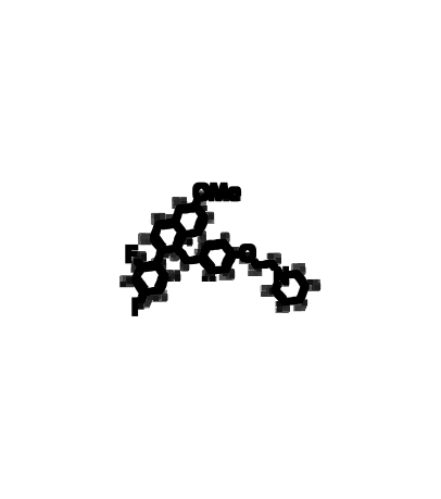 COc1ccc2c(Cc3ccc(OCCN4CCCCC4)cc3)c(-c3ccc(F)cc3F)ccc2c1